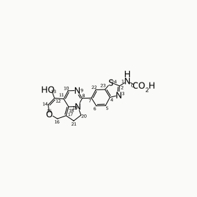 O=C(O)Nc1nc2ccc(C3=NC=C4C(O)=COCC5=C4N3CC5)cc2s1